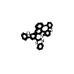 c1cc2c3c(c1)ccc1c3c3c4c(ccc3n1-c1nc3ccccc3nc1-c1ccc3oc5ccccc5c3c1)sc1cccc-2c14